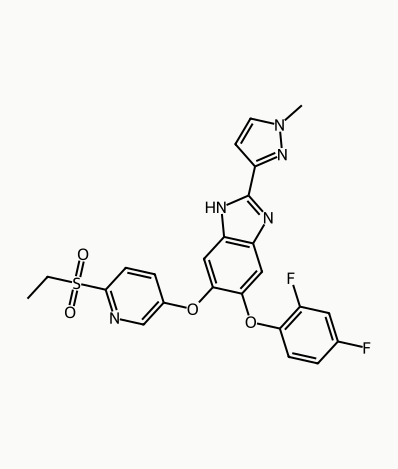 CCS(=O)(=O)c1ccc(Oc2cc3[nH]c(-c4ccn(C)n4)nc3cc2Oc2ccc(F)cc2F)cn1